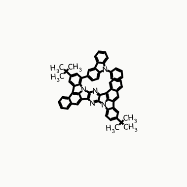 CC(C)(C)c1ccc2c(c1)c1cc3ccccc3c3c4nc5c(nc4n2c13)c1cc2ccccc2c2c3cc(C(C)(C)C)cc(-c4ccc6c(c4)c4ccccc4n6-c4ccccc4)c3n5c12